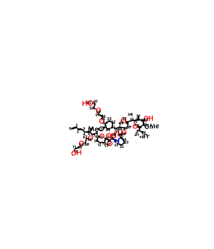 C=C/C=C/C=C(\C)C(C[C@@H]1CC[C@@H](C)[C@](O)(C(=O)C(=O)N2CCCC[C@H]2C(=O)O[C@@H](CC(=O)[C@H](C)/C=C(\C)[C@@H](O)[C@@H](OC)C(=O)[C@H](C)CC(C)C)[C@H](C)C[C@@H]2CC[C@@H](OCCOCCO)[C@H](OC)C2)O1)OCCOCCO